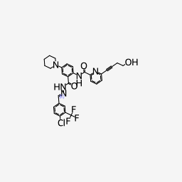 O=C(Nc1ccc(N2CCCCC2)cc1C(=O)N/N=C/c1ccc(Cl)c(C(F)(F)F)c1)c1cccc(C#CCCO)n1